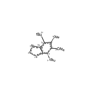 COc1c(OC)c(C(C)(C)C)c2snnc2c1C(C)(C)C